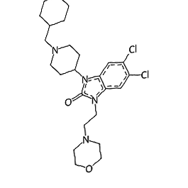 O=c1n(CCN2CCOCC2)c2cc(Cl)c(Cl)cc2n1C1CCN(CC2CCCCC2)CC1